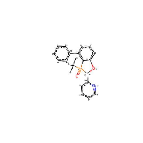 CC(C)(C)P1(=O)c2c(cccc2-c2ccccc2)O[C@H]1c1ccccn1